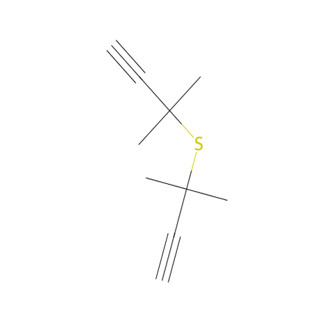 C#CC(C)(C)SC(C)(C)C#C